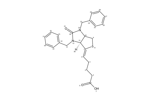 O=C(O)CCC/C=C1\SCC2[C@@H]1N(Cc1ccccc1)C(=O)N2Cc1ccccc1